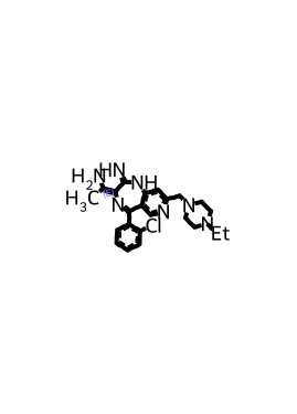 CCN1CCN(Cc2cc3c(cn2)C(c2ccccc2Cl)=N/C(=C(\C)N)C(=N)N3)CC1